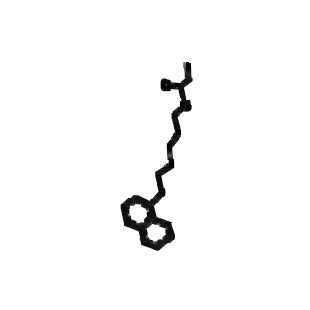 C=CC(=O)OCCCCCCc1cccc2ccccc12